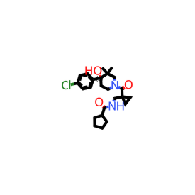 CC1(C)CN(C(=O)C2(CNC(=O)C3CCCC3)CC2)CC[C@]1(O)c1ccc(Cl)cc1